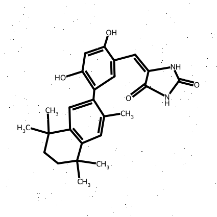 Cc1cc2c(cc1-c1cc(C=C3NC(=O)NC3=O)c(O)cc1O)C(C)(C)CCC2(C)C